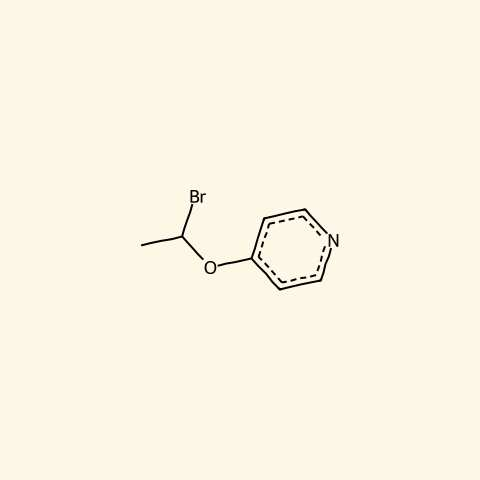 CC(Br)Oc1ccncc1